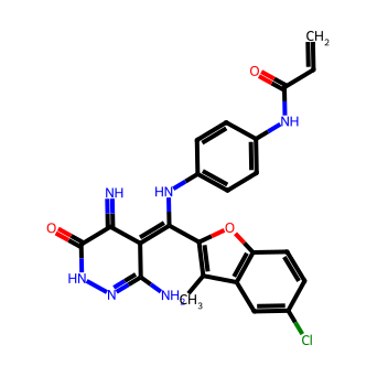 C=CC(=O)Nc1ccc(N/C(=C2\C(=N)C(=O)NN=C2N)c2oc3ccc(Cl)cc3c2C)cc1